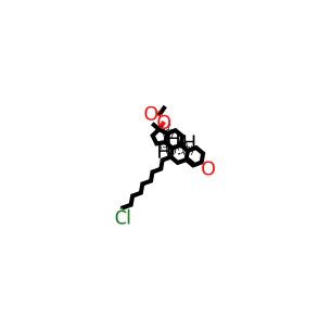 CC(=O)OC1(C)CC[C@H]2[C@@H]3C(CCCCCCCCCCl)CC4=CC(=O)CC[C@]4(C)[C@@H]3CC[C@@]21C